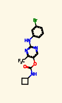 O=C(NC1CCC1)Oc1cnc(Nc2cccc(Br)c2)nc1C(F)(F)F